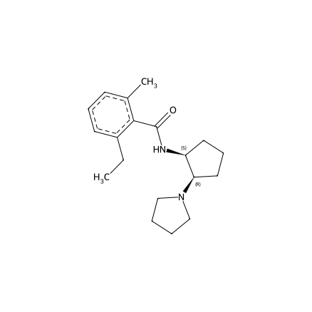 CCc1cccc(C)c1C(=O)N[C@H]1CCC[C@H]1N1CCCC1